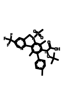 Cc1ccc(-c2c(C)c3c(c(C)c2[C@H](OC(C)(C)C)C(=O)O)N(S(C)(=O)=O)Cc2cc(C(F)(F)F)cnc2-3)cc1